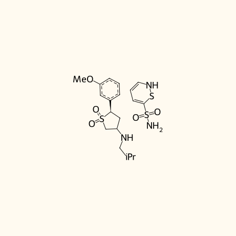 COc1cccc([C@H]2CC(NCC(C)C)CS2(=O)=O)c1.NS(=O)(=O)C1=CC=CNS1